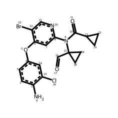 Nc1ccc(Oc2cc(N(C(=O)C3CC3)C3(C=O)CC3)ncc2Br)cc1Cl